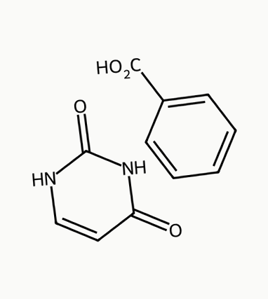 O=C(O)c1ccccc1.O=c1cc[nH]c(=O)[nH]1